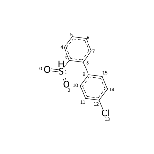 O=[SH](=O)c1ccccc1-c1ccc(Cl)cc1